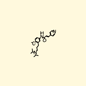 COc1ccc(NC(=O)/C=C/c2ccncc2)cc1CCCN(C(C)C)C(C)C